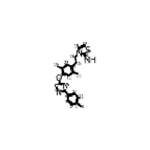 Cc1ccc(-c2nsc(Oc3cc(C)c(CCn4ccsc4=N)cc3C)n2)cc1